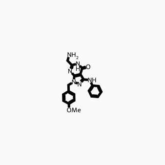 COc1ccc(Cn2nc(Nc3ccccc3)c3c(=O)[nH]c(CN)nc32)cc1